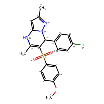 COc1ccc(S(=O)(=O)C2=C(C)Nc3cc(C)nn3C2c2ccc(Cl)cc2)cc1